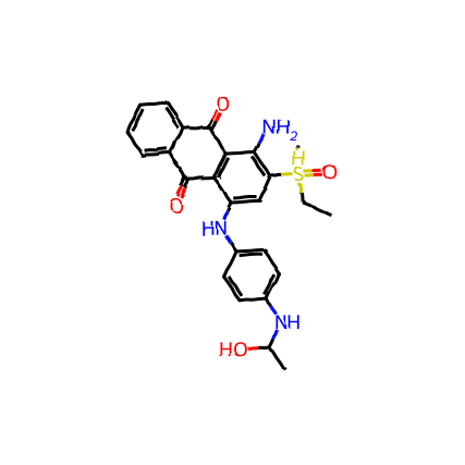 CC[SH](C)(=O)c1cc(Nc2ccc(NC(C)O)cc2)c2c(c1N)C(=O)c1ccccc1C2=O